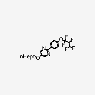 CCCCCCCOc1cnc(-c2ccc(OC(F)(F)C(F)C(F)F)cc2)nc1